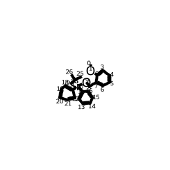 COc1ccccc1CO[Si](c1ccccc1)(c1ccccc1)C(C)(C)C